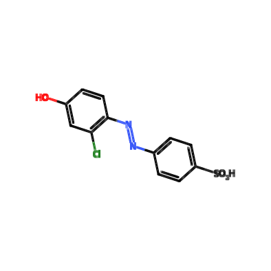 O=S(=O)(O)c1ccc(N=Nc2ccc(O)cc2Cl)cc1